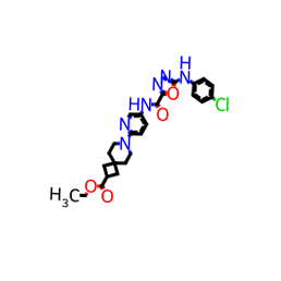 CCOC(=O)C1CC2(CCN(c3ccc(NC(=O)c4nnc(Nc5ccc(Cl)cc5)o4)cn3)CC2)C1